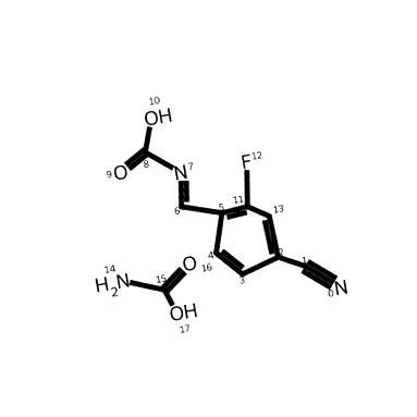 N#Cc1ccc(C=NC(=O)O)c(F)c1.NC(=O)O